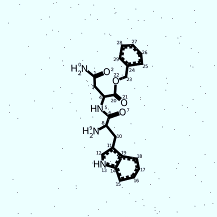 NC(=O)CC(NC(=O)C(N)Cc1c[nH]c2ccccc12)C(=O)OCc1ccccc1